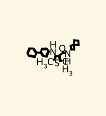 Cc1sc(C)c(C(=O)NC2CC3(CCC3)C2)c1Nc1ccc(-c2ccccc2)cc1